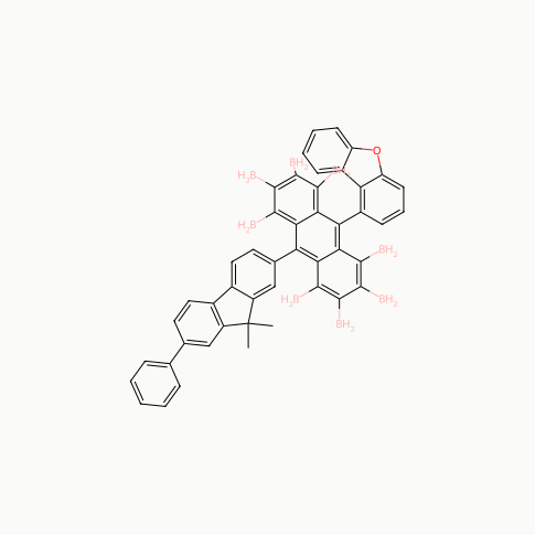 Bc1c(B)c(B)c2c(-c3cccc4oc5ccccc5c34)c3c(B)c(B)c(B)c(B)c3c(-c3ccc4c(c3)C(C)(C)c3cc(-c5ccccc5)ccc3-4)c2c1B